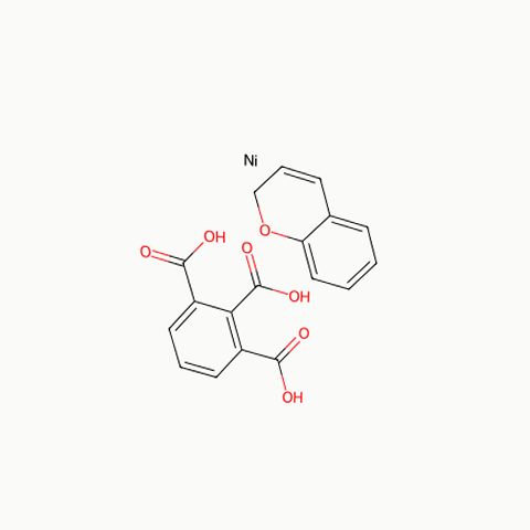 C1=Cc2ccccc2OC1.O=C(O)c1cccc(C(=O)O)c1C(=O)O.[Ni]